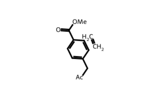 C=C.COC(=O)c1ccc(CC(C)=O)cc1